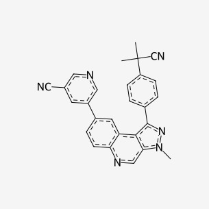 Cn1nc(-c2ccc(C(C)(C)C#N)cc2)c2c3cc(-c4cncc(C#N)c4)ccc3ncc21